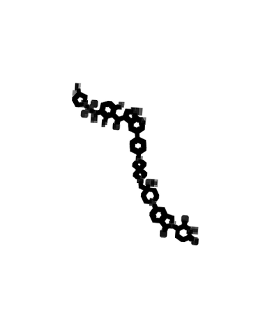 O=C1CCC(N2Cc3cc(N4CCC(O)(CN5CC6(C5)CN(c5ccc(-c7cnc8[nH]cc(C(=O)c9c(F)ccc(NS(=O)(=O)N%10CC[C@@H](F)C%10)c9F)c8c7)cc5)C6)CC4)ccc3C2=O)C(=O)N1